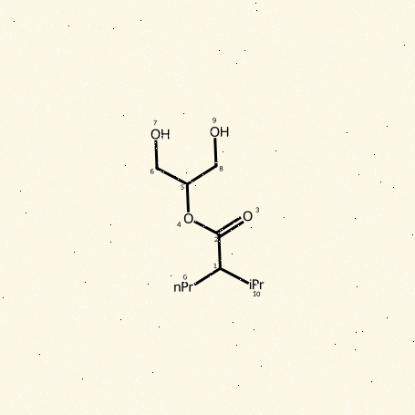 CCCC(C(=O)OC(CO)CO)C(C)C